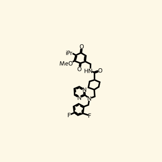 COC1=C(C(C)C)C(=O)C=C(CNC(=O)C2CCC(CN(Cc3ccc(F)cc3F)c3ncccn3)CC2)C1=O